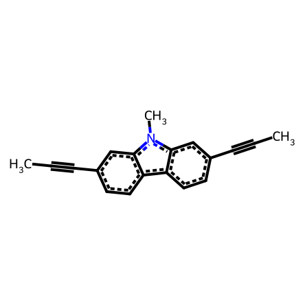 CC#Cc1ccc2c3ccc(C#CC)cc3n(C)c2c1